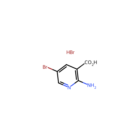 Br.Nc1ncc(Br)cc1C(=O)O